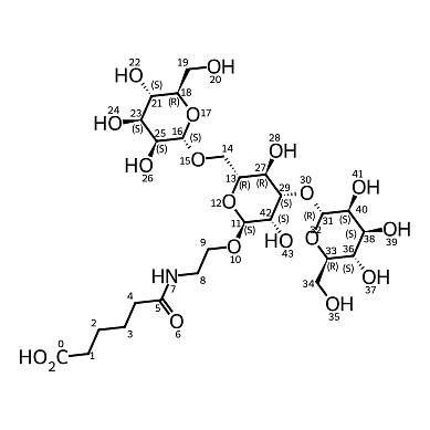 O=C(O)CCCCC(=O)NCCO[C@H]1O[C@H](CO[C@H]2O[C@H](CO)[C@@H](O)[C@H](O)[C@@H]2O)[C@@H](O)[C@H](O[C@H]2O[C@H](CO)[C@@H](O)[C@H](O)[C@@H]2O)[C@@H]1O